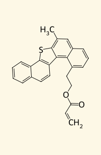 C=CC(=O)OCCc1cccc2cc(C)c3sc4c5ccccc5ccc4c3c12